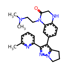 Cc1cccc(-c2nn3c(c2-c2ccc4c(c2)N(CCN(C)C)C(=O)CN4)CCC3)n1